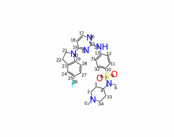 CN1CCC(N(C)S(=O)(=O)c2ccc(Nc3nccc(N4CCc5cc(F)ccc54)n3)cc2)CC1